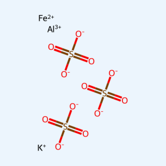 O=S(=O)([O-])[O-].O=S(=O)([O-])[O-].O=S(=O)([O-])[O-].[Al+3].[Fe+2].[K+]